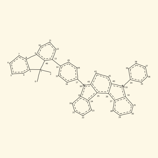 CC1(C)c2ccccc2-c2cccc(-c3ccc(-n4c5ccccc5c5c6c7ccccc7n(-c7ccccc7)c6ccc54)cc3)c21